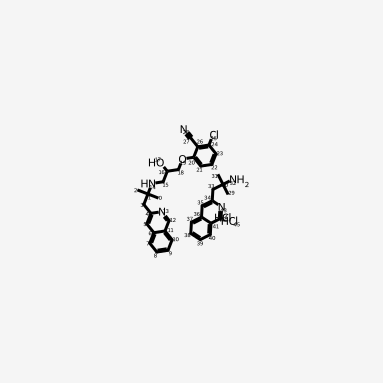 CC(C)(Cc1cc2ccccc2cn1)NCC(O)COc1cccc(Cl)c1C#N.CC(C)(N)Cc1cc2ccccc2cn1.Cl.Cl